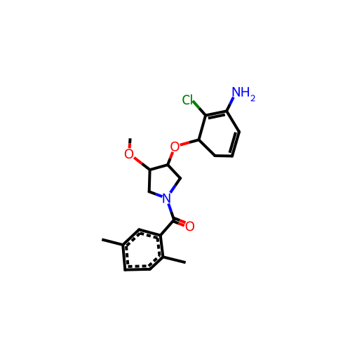 COC1CN(C(=O)c2cc(C)ccc2C)CC1OC1CC=CC(N)=C1Cl